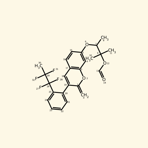 C=C1Oc2cc(OC(C)C(C)(C)OC=O)ccc2C=C1c1ccccc1C(F)(F)C(C)(F)F